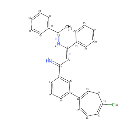 C/C(=N\C(=C/C(=N)c1cccc(C2=CCC(Cl)=CC=C2)c1)c1ccccc1)c1ccccc1